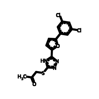 CC(=O)CSc1nnc(-c2ccc(-c3cc(Cl)cc(Cl)c3)o2)[nH]1